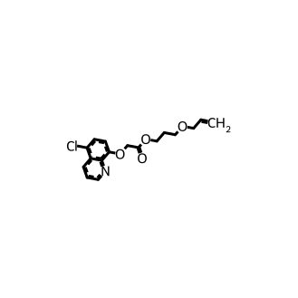 C=CCOCCCOC(=O)COc1ccc(Cl)c2cccnc12